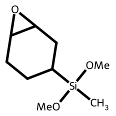 CO[Si](C)(OC)C1CCC2OC2C1